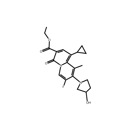 CCOC(=O)c1cc(C2CC2)c2c(C)c(N3CCC(O)C3)c(F)cn2c1=O